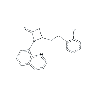 O=C1CC(CCc2ccccc2Br)N1c1cccc2cccnc12